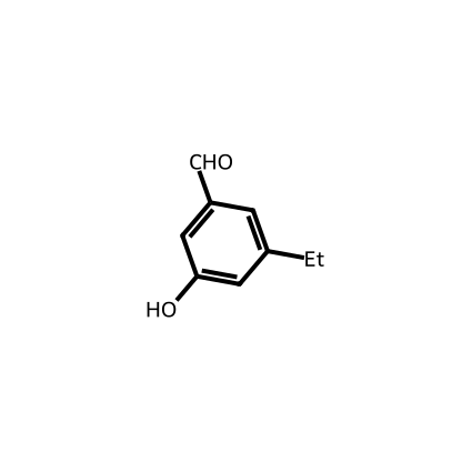 CCc1cc(O)cc(C=O)c1